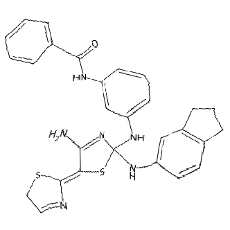 NC1=NC(Nc2cccc(NC(=O)c3ccccc3)c2)(Nc2ccc3c(c2)CCC3)SC1=C1N=CCS1